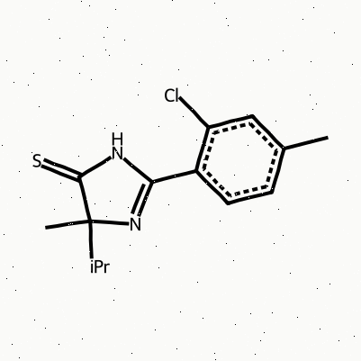 Cc1ccc(C2=NC(C)(C(C)C)C(=S)N2)c(Cl)c1